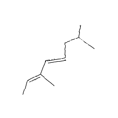 C/C=C(C)/C=C/CC(C)C